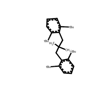 [CH2]C([CH2])(Cc1c(C(C)(C)C)[c]ccc1C(C)(C)C)Cc1c(C(C)(C)C)[c]ccc1C(C)(C)C